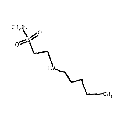 C.CCCCCNCCS(=O)(=O)O